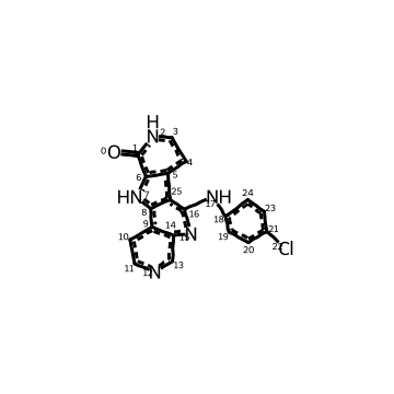 O=c1[nH]ccc2c1[nH]c1c3ccncc3nc(Nc3ccc(Cl)cc3)c21